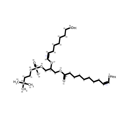 CCCCCC/C=C\CCCCCCCC(=O)OCC(COP(=O)([O-])OCC[N+](C)(C)C)O/C=C\CCCCCCCCCCCCCCCC